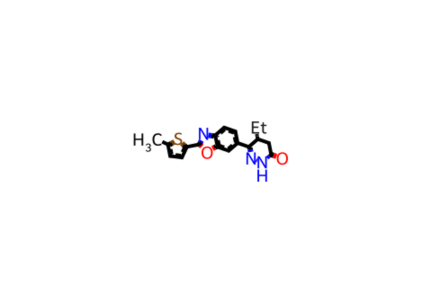 CCC1CC(=O)NN=C1c1ccc2nc(-c3ccc(C)s3)oc2c1